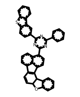 C1=CC2Oc3ccccc3C2C2=C1c1cccc3c(-c4nc(-c5ccccc5)nc(-c5ccc6sc7ccccc7c6c5)n4)ccc2c13